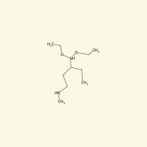 CCO[SiH](OCC)C(CC)CCNC